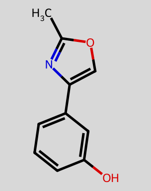 Cc1nc(-c2cccc(O)c2)co1